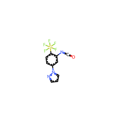 O=C=Nc1cc(-n2cccn2)ccc1S(F)(F)(F)(F)F